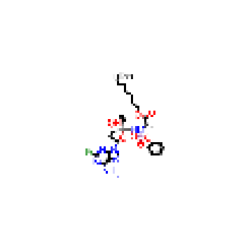 C#C[C@]1(CO[P@@](=O)(N[C@@H](C)C(=O)OCCCCCCCCCCCCCCCC)Oc2ccccc2)O[C@@H](n2cnc3c(N)nc(F)nc32)C[C@@H]1O